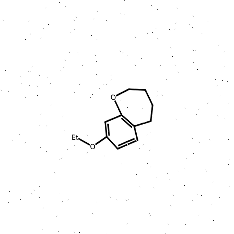 CCOc1ccc2c(c1)OCCCC2